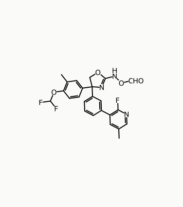 Cc1cnc(F)c(-c2cccc(C3(c4ccc(OC(F)F)c(C)c4)COC(NOC=O)=N3)c2)c1